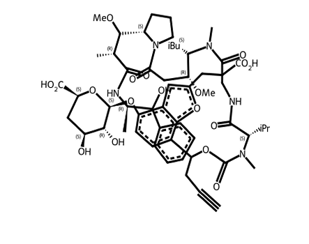 C#CCC(OC(=O)N(C)[C@H](C(=O)NCC(=O)N(C)C([C@@H](C)CC)[C@@H](CC(=O)N1CCC[C@H]1C(OC)[C@@H](C)C(=O)N[C@H](C)C(O)c1ccccc1)OC)C(C)C)c1ccc(O[C@@H]2O[C@H](C(=O)O)C[C@H](O)[C@H]2O)c2cc(CCC(=O)O)oc12